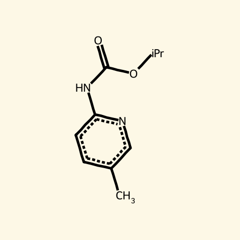 Cc1ccc(NC(=O)OC(C)C)nc1